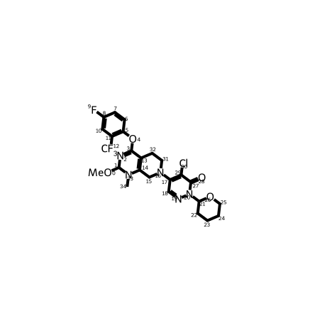 COC1N=C(Oc2ccc(F)cc2C(F)(F)F)C2=C(CN(c3cnn(C4CCCCO4)c(=O)c3Cl)CC2)N1C